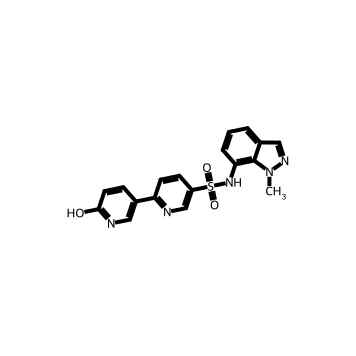 Cn1ncc2cccc(NS(=O)(=O)c3ccc(-c4ccc(O)nc4)nc3)c21